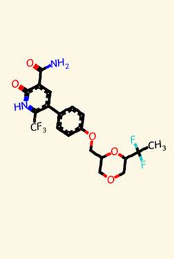 CC(F)(F)C1COCC(COc2ccc(-c3cc(C(N)=O)c(=O)[nH]c3C(F)(F)F)cc2)O1